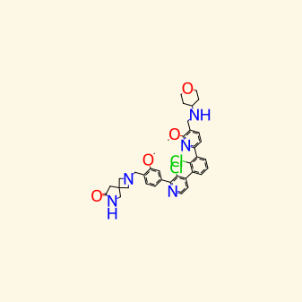 COc1cc(-c2nccc(-c3cccc(-c4ccc(CNC5CCOCC5)c(OC)n4)c3Cl)c2Cl)ccc1CN1CC2(CNC(=O)C2)C1